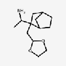 CC(N)C1(CC2OCCO2)CC2CCC1C2